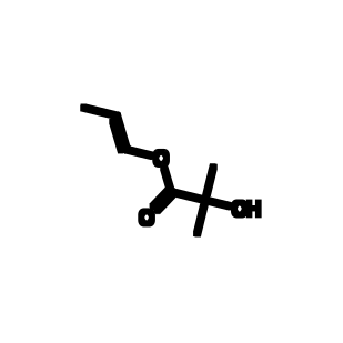 CC=COC(=O)C(C)(C)O